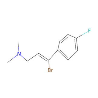 CN(C)CC=C(Br)c1ccc(F)cc1